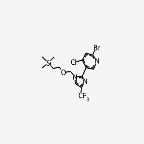 C[Si](C)(C)CCOCn1cc(C(F)(F)F)nc1-c1cnc(Br)cc1Cl